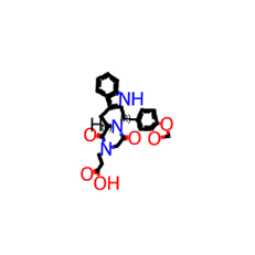 O=C(O)CCN1CC(=O)N2[C@H](c3ccc4c(c3)OCO4)c3[nH]c4ccccc4c3C[C@@H]2C1=O